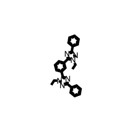 CCn1nc(-c2ccccc2)nc1-c1cccc(-c2nc(-c3ccccc3)nn2CC)c1